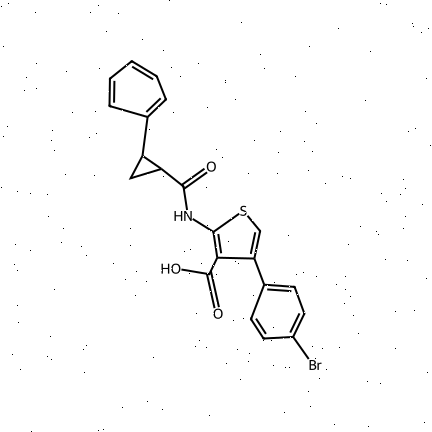 O=C(O)c1c(-c2ccc(Br)cc2)csc1NC(=O)C1CC1c1ccccc1